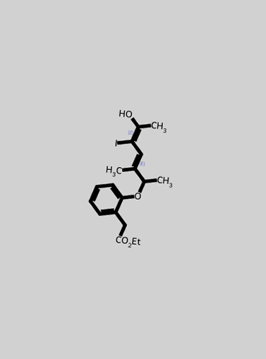 CCOC(=O)Cc1ccccc1OC(C)/C(C)=C/C(I)=C(\C)O